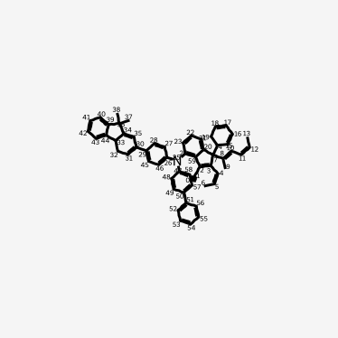 C#CC1=C(/C=C\C)C(/C(C)=C/C=C\C)(C2C=CC=CC2)c2cccc(N(c3ccc(C4=CCC5C(=C4)C(C)(C)c4ccccc45)cc3)c3ccc(-c4ccccc4)cc3)c21